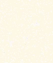 Cn1c(Br)cc2c1C(c1ccc(Cl)cc1)N(c1cc(Cl)c(=O)n(C)c1)C2=O